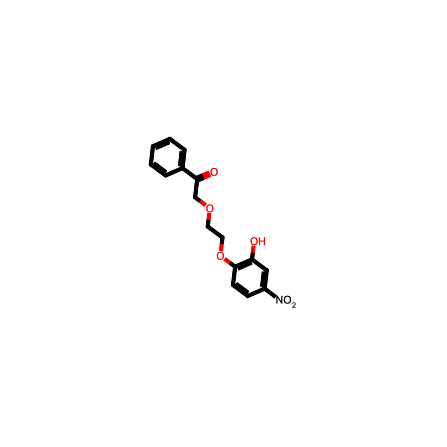 O=C(COCCOc1ccc([N+](=O)[O-])cc1O)c1ccccc1